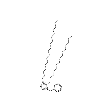 CCCCCCCCCCCCCCCCCC[n+]1ccn(Cc2ccccc2)c1CCCCCCCCCCCCCCC